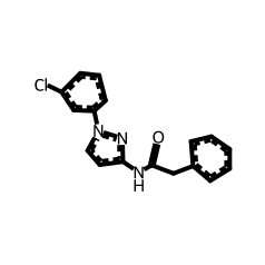 O=C(Cc1ccccc1)Nc1ccn(-c2cccc(Cl)c2)n1